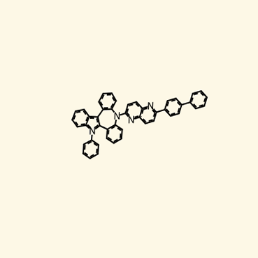 c1ccc(-c2ccc(-c3ccc4nc(N5c6ccccc6-c6c(n(-c7ccccc7)c7ccccc67)-c6ccccc65)ccc4n3)cc2)cc1